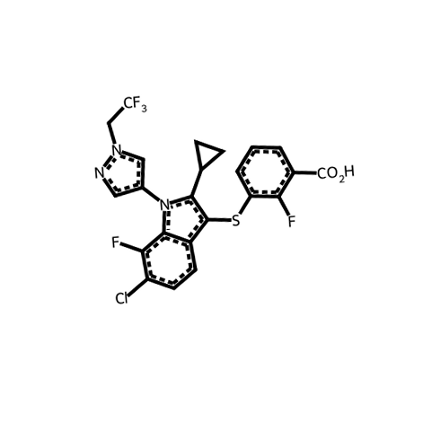 O=C(O)c1cccc(Sc2c(C3CC3)n(-c3cnn(CC(F)(F)F)c3)c3c(F)c(Cl)ccc23)c1F